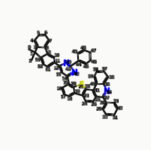 CC1(C)c2ccccc2-c2cc(-c3cc(-c4cccc5c4sc4c5ccc5c(-c6ccccc6)nc6ccccc6c54)nc(-c4ccccc4)n3)ccc21